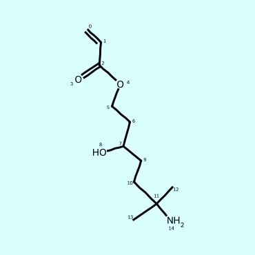 C=CC(=O)OCCC(O)CCC(C)(C)N